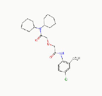 O=C(COCC(=O)N(C1CCCCC1)C1CCCCC1)Nc1ccc(Cl)cc1C(=O)O